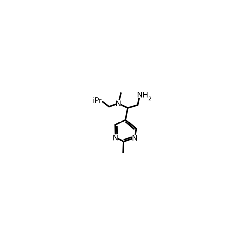 Cc1ncc(C(CN)N(C)CC(C)C)cn1